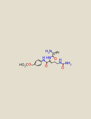 CC(C)[C@H](N)C(=O)N[C@@H](CCCNC(N)=O)C(=O)Nc1ccc(COC(=O)O)cc1